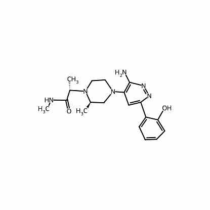 CNC(=O)[C@H](C)N1CCN(c2cc(-c3ccccc3O)nnc2N)C[C@H]1C